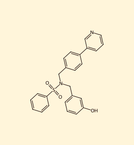 O=S(=O)(c1ccccc1)N(Cc1ccc(-c2cccnc2)cc1)Cc1cccc(O)c1